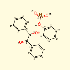 O=C(c1ccccc1)C(O)c1ccccc1.O=[SH](=O)Oc1ccccc1